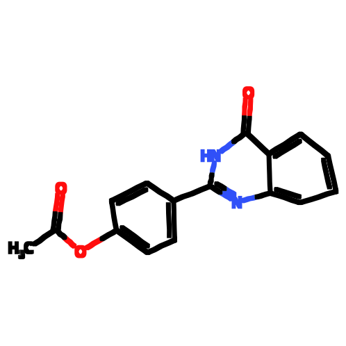 CC(=O)Oc1ccc(-c2nc3ccccc3c(=O)[nH]2)cc1